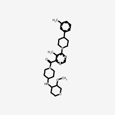 COC1COCCC1NC1CCN(C(=O)c2ncnc(N3CCC(c4cccc(C)c4)CC3)c2C)CC1